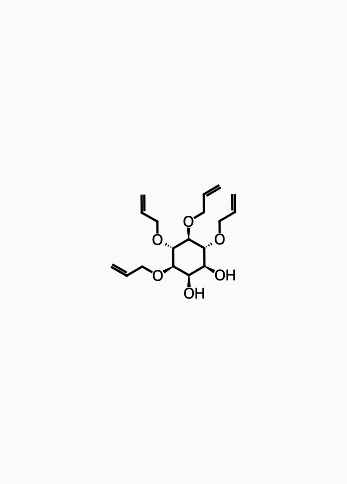 C=CCO[C@@H]1[C@@H](OCC=C)[C@H](OCC=C)[C@@H](O)[C@@H](O)[C@H]1OCC=C